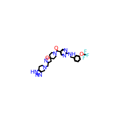 O=C(c1cnc(NCc2cccc(OC(F)(F)F)c2)nc1)N1CCC2(CC1)CC(CN1CCc3[nH]nnc3C1)=NO2